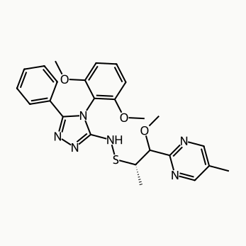 COc1cccc(OC)c1-n1c(NS[C@@H](C)C(OC)c2ncc(C)cn2)nnc1-c1ccccc1